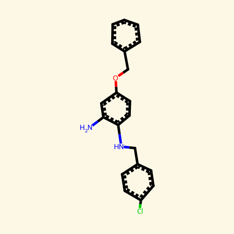 Nc1cc(OCc2ccccc2)ccc1NCc1ccc(Cl)cc1